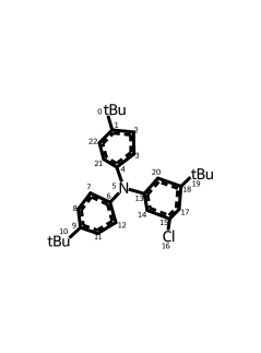 CC(C)(C)c1ccc(N(c2ccc(C(C)(C)C)cc2)c2cc(Cl)cc(C(C)(C)C)c2)cc1